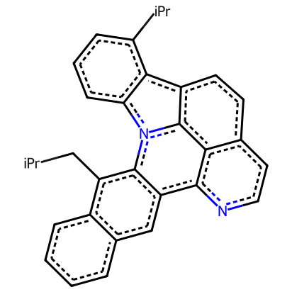 CC(C)Cc1c2ccccc2cc2c3nccc4ccc5c6c(C(C)C)cccc6n(c12)c5c43